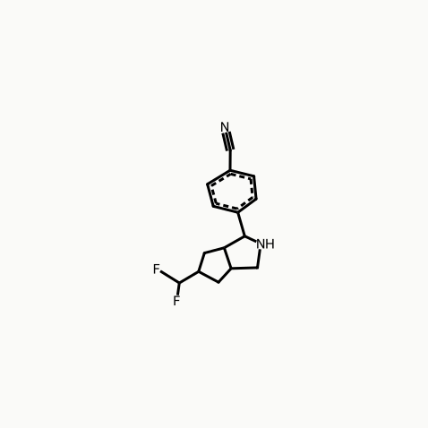 N#Cc1ccc(C2NCC3CC(C(F)F)CC32)cc1